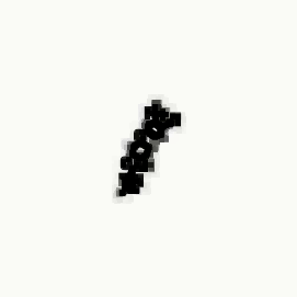 Cn1nnc(C(=O)N[C@H]2CC[C@H](Oc3ccc(C#N)c(C(F)(F)F)c3)CC2)n1